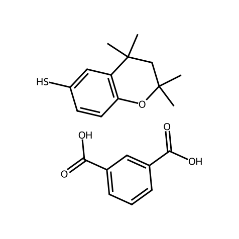 CC1(C)CC(C)(C)c2cc(S)ccc2O1.O=C(O)c1cccc(C(=O)O)c1